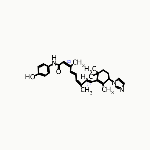 CC(=CC=C/C(C)=C\C(=O)Nc1ccc(O)cc1)/C=C/C1=C(C)C(n2ccnc2)CCC1(C)C